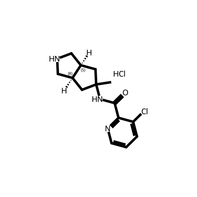 CC1(NC(=O)c2ncccc2Cl)C[C@H]2CNC[C@H]2C1.Cl